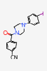 N#Cc1ccc(C(=O)N2CCN(c3ccc(I)cc3)CC2)cc1